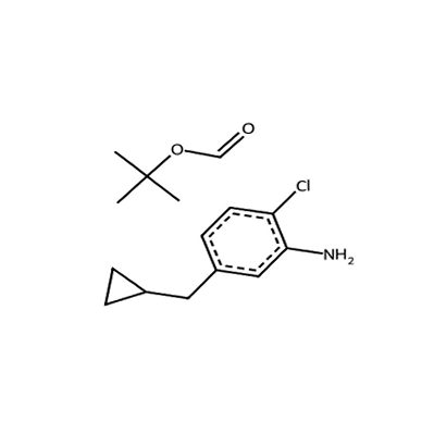 CC(C)(C)OC=O.Nc1cc(CC2CC2)ccc1Cl